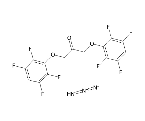 O=C(COc1c(F)c(F)cc(F)c1F)COc1c(F)c(F)cc(F)c1F.[N-]=[N+]=N